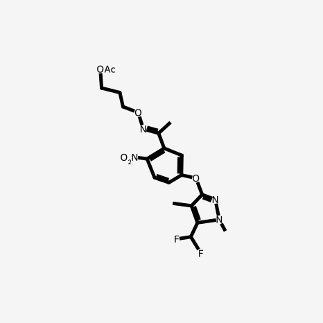 CC(=O)OCCCON=C(C)c1cc(Oc2nn(C)c(C(F)F)c2C)ccc1[N+](=O)[O-]